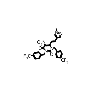 Cn1cc(/C=C/c2c([N+](=O)[O-])c(=O)n(Cc3ccc(C(F)(F)F)cc3)c(=O)n2Cc2ccc(C(F)(F)F)cc2)cn1